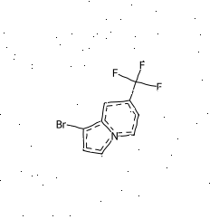 FC(F)(F)c1ccn2[c]cc(Br)c2c1